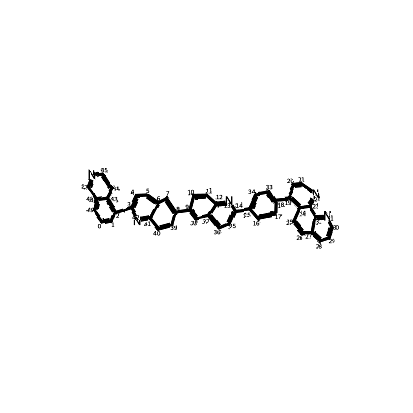 c1cc(-c2ccc3cc(-c4ccc5nc(-c6ccc(-c7ccnc8c7ccc7cccnc78)cc6)ccc5c4)ccc3n2)c2ccncc2c1